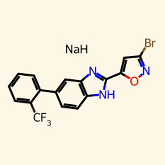 FC(F)(F)c1ccccc1-c1ccc2[nH]c(-c3cc(Br)no3)nc2c1.[NaH]